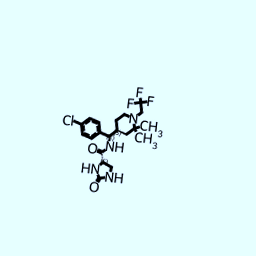 CC1(C)C[C@@H]([C@@H](NC(=O)[C@@H]2CNC(=O)N2)c2ccc(Cl)cc2)CCN1CC(F)(F)F